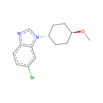 CO[C@H]1CC[C@H](n2cnc3ccc(Br)cc32)CC1